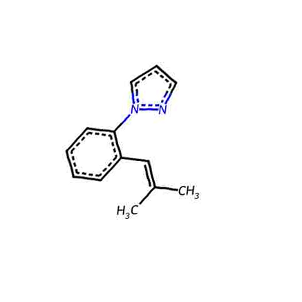 CC(C)=Cc1ccccc1-n1cccn1